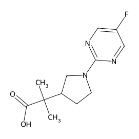 CC(C)(C(=O)O)C1CCN(c2ncc(F)cn2)C1